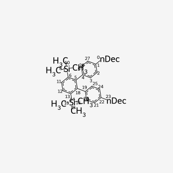 CCCCCCCCCCc1ccc(-c2c([Si](C)(C)C)ccc([Si](C)(C)C)c2-c2ccc(CCCCCCCCCC)cc2)cc1